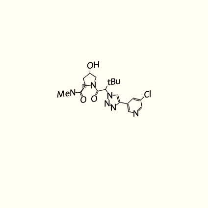 CNC(=O)[C@H]1CC(O)CN1C(=O)C(n1cc(-c2cncc(Cl)c2)nn1)C(C)(C)C